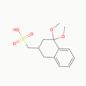 COC1(OC)CC(CS(=O)(=O)O)Cc2ccccc21